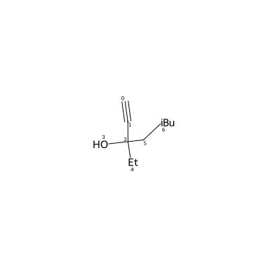 C#CC(O)(CC)CC(C)CC